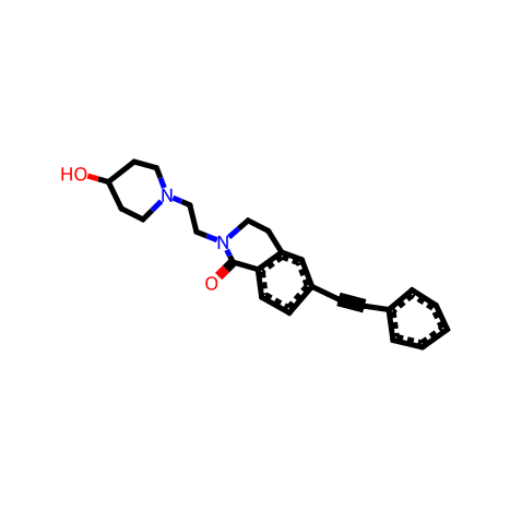 O=C1c2ccc(C#Cc3ccccc3)cc2CCN1CCN1CCC(O)CC1